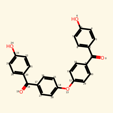 O=C(c1ccc(O)cc1)c1ccc(Oc2ccc(C(=O)c3ccc(O)cc3)cc2)cc1